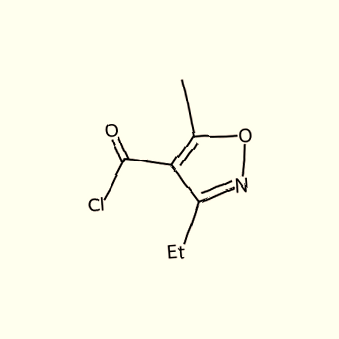 CCc1noc(C)c1C(=O)Cl